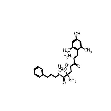 Cc1cc(O)cc(C)c1C[C@@H](N)C(=O)CCC(N)(C(=O)NCCCc1ccccc1)[S+](C)[O-]